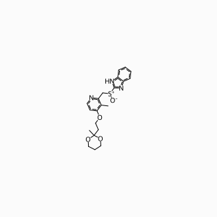 Cc1c(OCCC2(C)OCCCO2)ccnc1C[S+]([O-])c1nc2ccccc2[nH]1